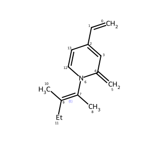 C=CC1=CC(=C)N(/C(C)=C(\C)CC)C=C1